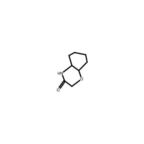 O=C1COC2CCCCC2N1